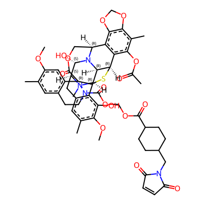 COc1cc2c(cc1C)CCN(C(=O)OCOC(=O)C1CCC(CN3C(=O)C=CC3=O)CC1)[C@]21CS[C@@H]2c3c(OC(C)=O)c(C)c4c(c3[C@H](COC1=O)N1[C@@H]2[C@H]2c3c(cc(C)c(OC)c3O)C[C@@H]([C@@H]1O)N2C)OCO4